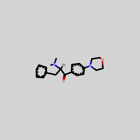 CCC(Cc1ccccc1)(C(=O)c1[c]cc(N2CCOCC2)cc1)N(C)C